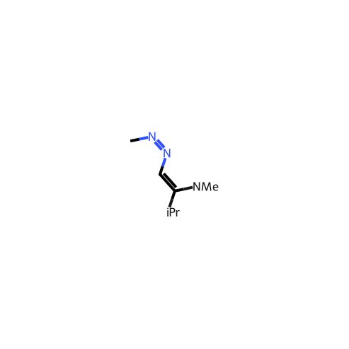 C/N=N\C=C(/NC)C(C)C